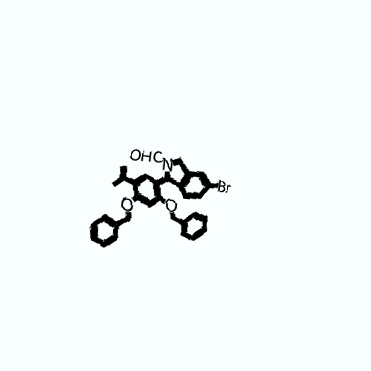 C=C(C)c1cc(C2c3ccc(Br)cc3CN2C=O)c(OCc2ccccc2)cc1OCc1ccccc1